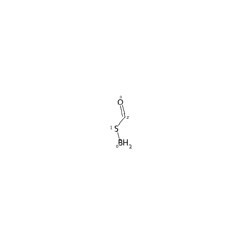 BSC=O